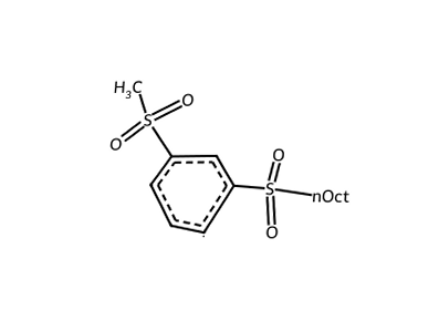 CCCCCCCCS(=O)(=O)c1[c]ccc(S(C)(=O)=O)c1